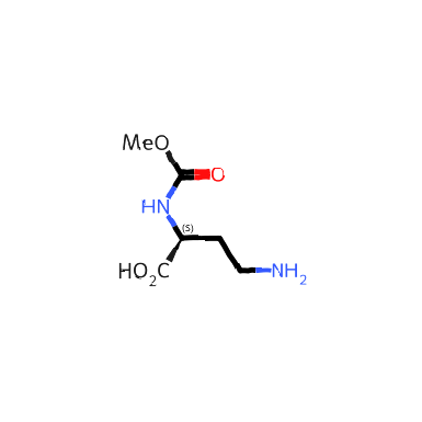 COC(=O)N[C@@H](CCN)C(=O)O